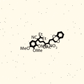 CCC(CC)C(C#N)(CCC(OC(C)=O)C(CC1COc2ccccc2O1)[N+](=O)[O-])c1ccc(OC)c(OC)c1OC